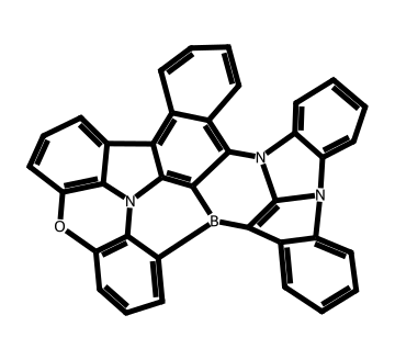 c1cc2c3c(c1)B1c4c(c5ccccc5c5c6cccc(c6n-3c45)O2)-n2c3ccccc3n3c4ccccc4c1c23